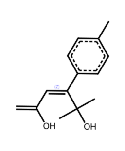 C=C(O)/C=C(/c1ccc(C)cc1)C(C)(C)O